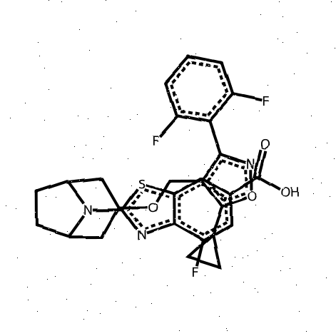 O=C(O)c1cc(F)c2nc(N3C4CCC3CC(OCc3c(-c5c(F)cccc5F)noc3C3CC3)C4)sc2c1